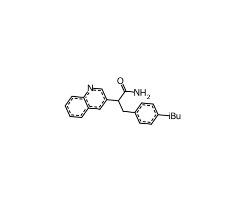 CCC(C)c1ccc(CC(C(N)=O)c2cnc3ccccc3c2)cc1